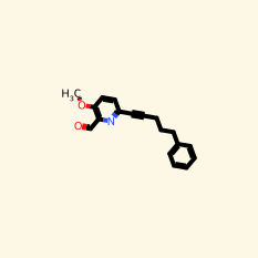 COc1ccc(C#CCCCc2ccccc2)nc1C=O